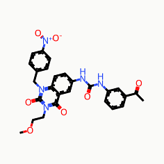 COCCn1c(=O)c2cc(NC(=O)Nc3cccc(C(C)=O)c3)ccc2n(Cc2ccc([N+](=O)[O-])cc2)c1=O